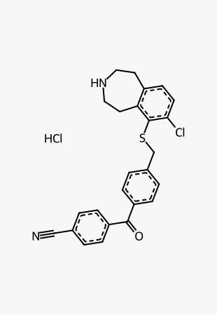 Cl.N#Cc1ccc(C(=O)c2ccc(CSc3c(Cl)ccc4c3CCNCC4)cc2)cc1